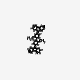 Cc1cc(-n2c3ccncc3c3cnccc32)ccc1-c1ccc(-n2c3ccncc3c3ncccc32)cc1C